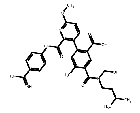 COc1ccc(-c2cc(C)c(C(=O)N(CO)CCC(C)C)cc2C(=O)O)c(C(=O)Nc2ccc(C(=N)N)cc2)n1